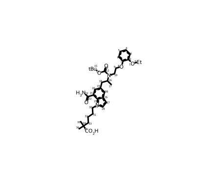 CCOc1ccccc1OCCN(C(=O)OC(C)(C)C)C(C)Cc1cc(C(N)=O)c2c(ccn2CCCCC(C)(C)C(=O)O)c1